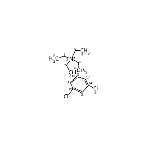 CC[N+](CC)(CC)CC.Clc1cccc(Cl)c1